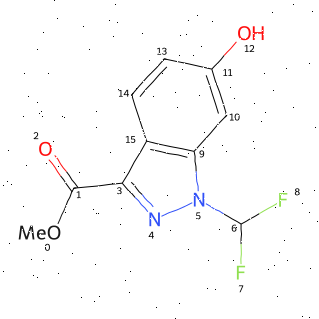 COC(=O)c1nn(C(F)F)c2cc(O)ccc12